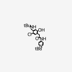 CC(C)(C)NCc1cc(O)c(CC(=O)NC2=CCN(C(C)(C)C)C=C2)cc1Cl